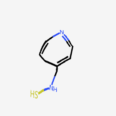 SNc1ccncc1